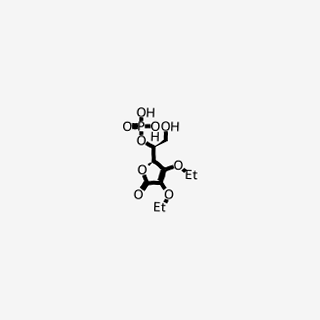 CCOC1=C(OCC)[C@@H]([C@H](CO)OP(=O)(O)O)OC1=O